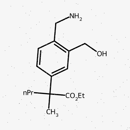 CCCC(C)(C(=O)OCC)c1ccc(CN)c(CO)c1